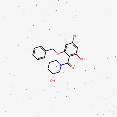 O=C(c1c(O)cc(O)cc1OCc1ccccc1)N1CCC[C@@H](O)C1